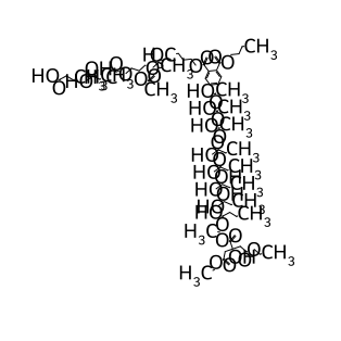 CC(=O)O.CC(=O)O.CC(=O)O.CC(=O)OCC(COC(C)=O)OC(C)=O.CCC(=O)O.CCC(=O)O.CCC(O)O.CCC(O)O.CCC(O)O.CCCC(=O)O.CCCC(=O)O.CCCCOC(=O)c1ccccc1C(=O)OCCCC.CCOC(=O)CC(O)(CC(=O)OCC)C(=O)OCC